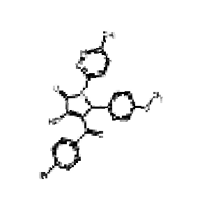 CC(C)c1ccc(C(=O)C2=C(O)C(=O)N(c3ccc(O)nn3)C2c2ccc(OC(F)(F)F)cc2)cc1